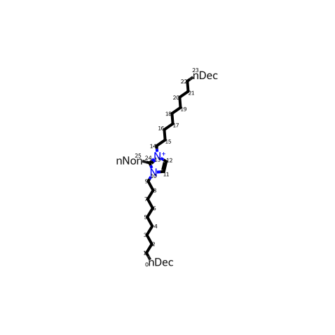 CCCCCCCCCCCCCCCCCCCn1cc[n+](CCCCCCCCCCCCCCCCCCC)c1CCCCCCCCC